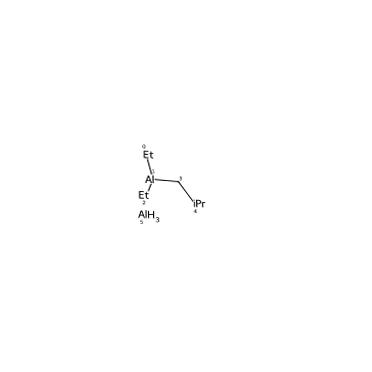 C[CH2][Al]([CH2]C)[CH2]C(C)C.[AlH3]